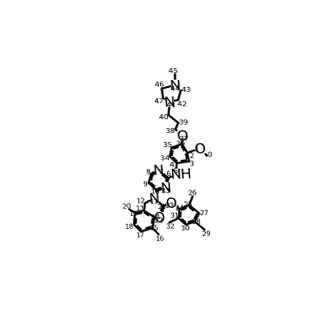 COc1cc(Nc2nccc(N(Cc3cc(C)ccc3C)C(=O)Oc3c(C)cc(C)cc3C)n2)ccc1OCCCN1CCN(C)CC1